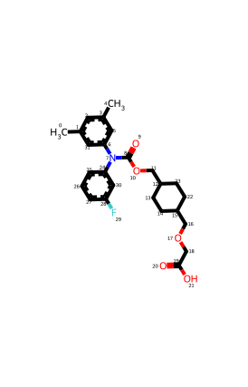 Cc1cc(C)cc(N(C(=O)OCC2CCC(COCC(=O)O)CC2)c2cccc(F)c2)c1